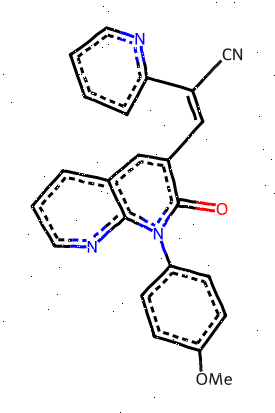 COc1ccc(-n2c(=O)c(/C=C(/C#N)c3ccccn3)cc3cccnc32)cc1